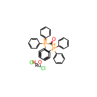 O.O=C([PH](c1ccccc1)(c1ccccc1)c1ccccc1)[PH](c1ccccc1)(c1ccccc1)c1ccccc1.[Cl][Ru][Cl]